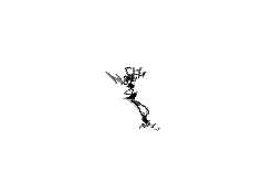 C[Si](O)(O)CCOCCOCCN